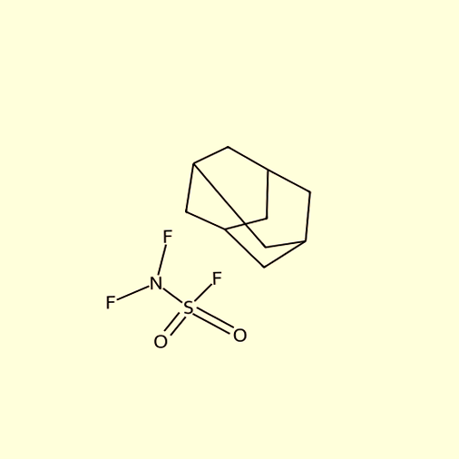 C1C2CC3CC1CC(C2)C3.O=S(=O)(F)N(F)F